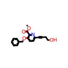 COC(=O)c1nc(C#CCCO)ccc1OCc1ccccc1